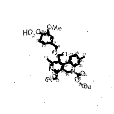 COc1cc(COC(=O)c2c(C)nc(CC(C)C)c(CNC(=O)OC(C)(C)C)c2-c2ccc(C)cc2)ccc1C(=O)O